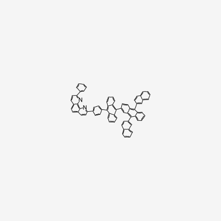 c1ccc(-c2ccc3ccc4ccc(-c5ccc(-c6c7ccccc7c(-c7ccc8c(-c9ccc%10ccccc%10c9)c9ccccc9c(-c9ccc%10ccccc%10c9)c8c7)c7ccccc67)cc5)nc4c3n2)cc1